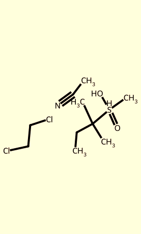 CC#N.CCC(C)(C)[SH](C)(=O)O.ClCCCl